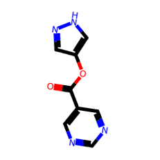 O=C(Oc1cn[nH]c1)c1cncnc1